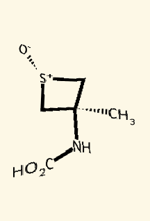 C[C@]1(NC(=O)O)C[S@+]([O-])C1